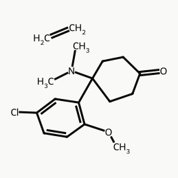 C=C.COc1ccc(Cl)cc1C1(N(C)C)CCC(=O)CC1